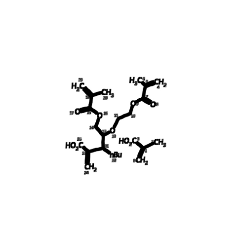 C=C(C)C(=O)O.C=C(C)C(=O)OCCOC(COC(=O)C(=C)C)C(CCCC)C(=C)C(=O)O